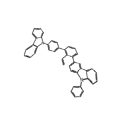 C=Cc1c(-c2ccc(-n3c4ccccc4c4ccccc43)cc2)cccc1-c1ccc2c(c1)c1ccccc1n2-c1ccccc1